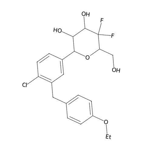 CCOc1ccc(Cc2cc(C3OC(CO)C(F)(F)C(O)C3O)ccc2Cl)cc1